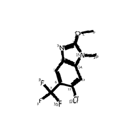 COc1nc2cc(C(F)(F)F)c(Cl)cc2n1C